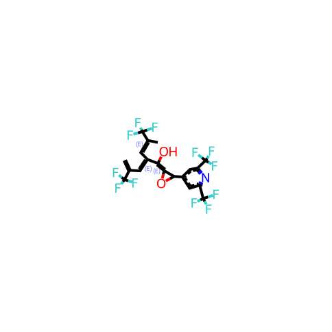 C=C(/C=C(\C=C(/C)C(F)(F)F)C(/O)=C1\OC1c1cc(C(F)(F)F)nc(C(F)(F)F)c1)C(F)(F)F